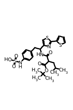 CC(C)CC(C(=O)NC(Cc1ccc(NS(=O)(=O)O)cc1)c1csc(-c2cccs2)n1)C(=O)OC(C)(C)C